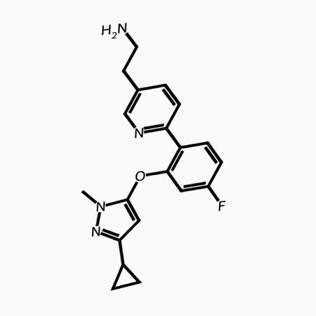 Cn1nc(C2CC2)cc1Oc1cc(F)ccc1-c1ccc(CCN)cn1